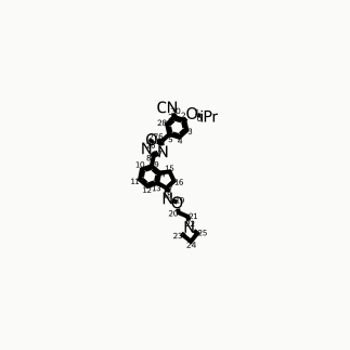 CC(C)Oc1ccc(-c2nc(-c3cccc4c3CC/C4=N\OCCN3CCC3)no2)cc1C#N